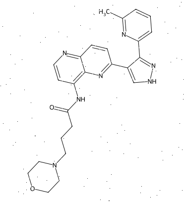 Cc1cccc(-c2n[nH]cc2-c2ccc3nccc(NC(=O)CCCN4CCOCC4)c3n2)n1